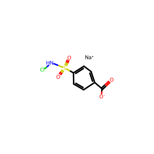 O=C([O-])c1ccc(S(=O)(=O)NCl)cc1.[Na+]